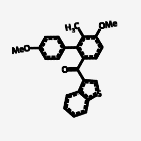 COc1ccc(-c2c(C(=O)c3csc4ccccc34)ccc(OC)c2C)cc1